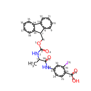 CC(NC(=O)OCC1c2ccccc2-c2ccccc21)C(=O)Nc1ccc(C(=O)O)c(I)c1